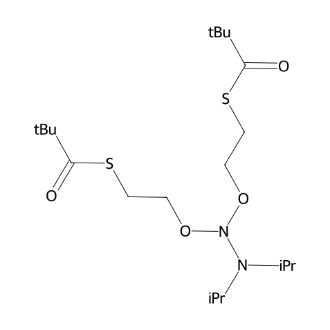 CC(C)N(C(C)C)N(OCCSC(=O)C(C)(C)C)OCCSC(=O)C(C)(C)C